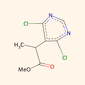 COC(=O)C(C)c1c(Cl)ncnc1Cl